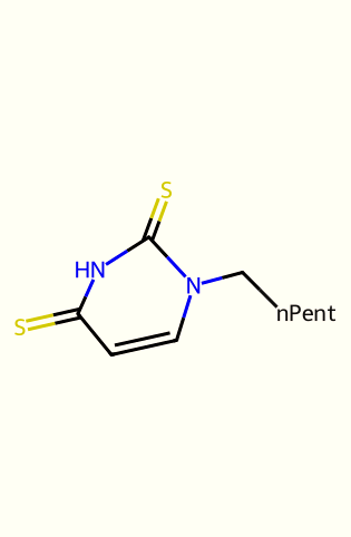 CCCCCCn1ccc(=S)[nH]c1=S